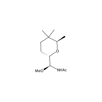 CO[C@H](NC(C)=O)[C@@H]1CCC(C)(C)[C@@H](C)O1